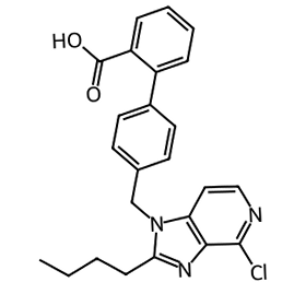 CCCCc1nc2c(Cl)nccc2n1Cc1ccc(-c2ccccc2C(=O)O)cc1